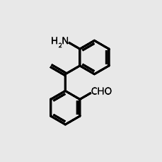 C=C(c1ccccc1N)c1ccccc1C=O